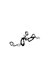 O/N=C1\CCc2cc(-c3cc(-c4ccc(OCCN5CCCC5)cc4)oc3-c3ccncc3)ccc21